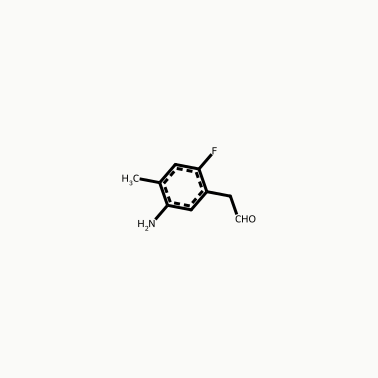 Cc1cc(F)c(CC=O)cc1N